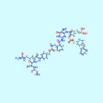 CC(C)[C@H](NC(=O)OC(C)(C)C)C(=O)N[C@@H](CCCNC(N)=O)C(=O)Nc1ccc(COC(=O)N(C)Cc2ccccc2C(=O)Nc2nc3c(ncn3[C@@H]3O[C@H](COP(O)O)C[C@H]3O[PH](=O)OC[C@@H]3CC[C@H](Oc4ccncn4)C3)c(=O)[nH]2)cc1